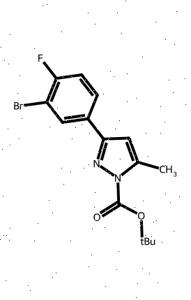 Cc1cc(-c2ccc(F)c(Br)c2)nn1C(=O)OC(C)(C)C